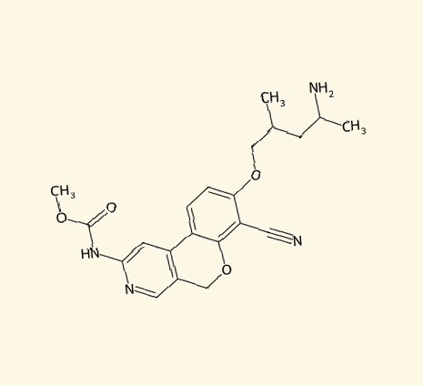 COC(=O)Nc1cc2c(cn1)COc1c-2ccc(OCC(C)CC(C)N)c1C#N